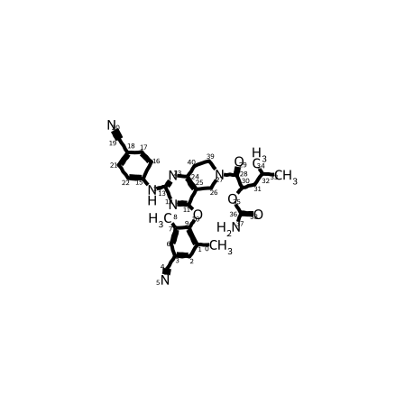 Cc1cc(C#N)cc(C)c1Oc1nc(Nc2ccc(C#N)cc2)nc2c1CN(C(=O)C(CC(C)C)OC(N)=O)CC2